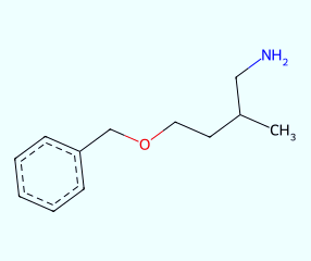 CC(CN)CCOCc1ccccc1